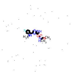 COC[C@H](C)NC(=O)Oc1c[nH]c2ncc(-c3nn(C)c4cc(F)ccc34)nc12